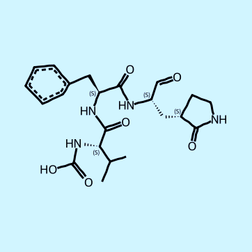 CC(C)[C@H](NC(=O)O)C(=O)N[C@@H](Cc1ccccc1)C(=O)N[C@H](C=O)C[C@@H]1CCNC1=O